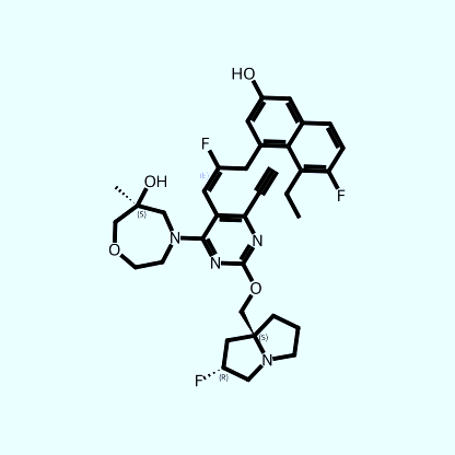 C#Cc1nc(OC[C@@]23CCCN2C[C@H](F)C3)nc(N2CCOC[C@@](C)(O)C2)c1/C=C(/F)Cc1cc(O)cc2ccc(F)c(CC)c12